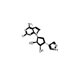 Nc1nc(Cl)nc2c1ccn2[C@@H]1C[C@H](c2cn[nH]c2)[C@@H](O)[C@H]1O